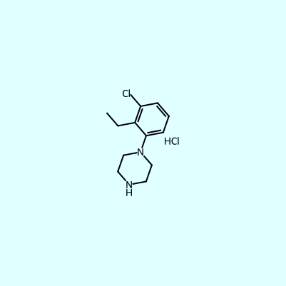 CCc1c(Cl)cccc1N1CCNCC1.Cl